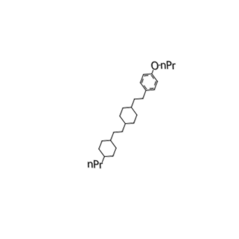 CCCOc1ccc(CCC2CCC(CCC3CCC(CCC)CC3)CC2)cc1